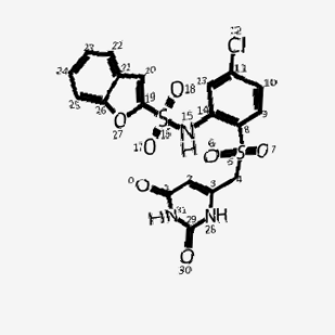 O=c1cc(CS(=O)(=O)c2ccc(Cl)cc2NS(=O)(=O)c2cc3ccccc3o2)[nH]c(=O)[nH]1